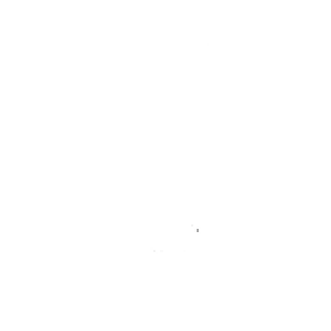 C=Cc1c(O)cccc1-c1ccc2c(c1)CCN(C(=O)OCCCC)C2